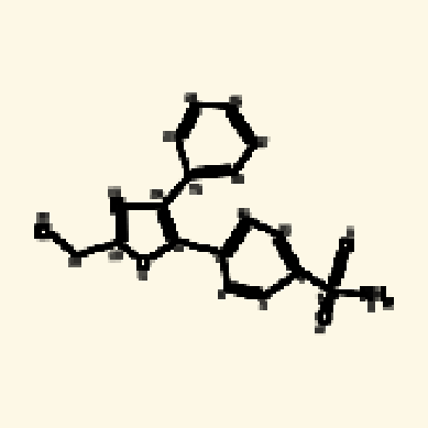 NS(=O)(=O)c1ccc(-c2oc(CCl)nc2-c2ccccc2)cc1